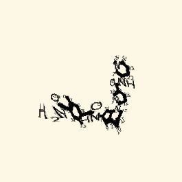 Cc1cc(C(=O)NC2CC3CCCN(c4ccc(C(=O)N[C@H]5CCCN(C)C5)cn4)C3C2)c(C)cc1C(N)=O